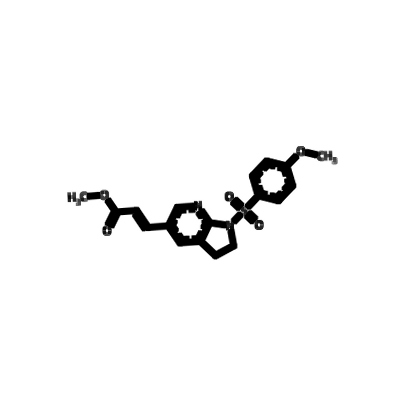 COC(=O)/C=C/c1cnc2c(c1)CCN2S(=O)(=O)c1ccc(OC)cc1